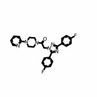 O=C(Cn1nc(-c2ccc(F)cc2)nc1-c1ccc(F)cc1)N1CCN(c2ccccn2)CC1